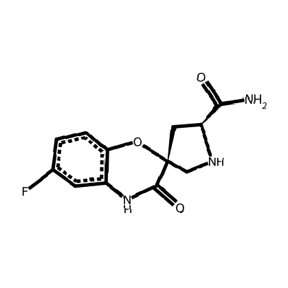 NC(=O)[C@@H]1C[C@]2(CN1)Oc1ccc(F)cc1NC2=O